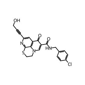 O=C(NCc1ccc(Cl)cc1)c1cn2c3c(nc(C#CCO)cc3c1=O)SCC2